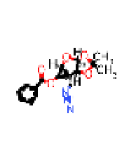 CC1(C)O[C@H]2O[C@@H]3C(OC(=O)c4ccccc4)[C@]3(CN=[N+]=[N-])[C@H]2O1